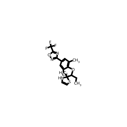 CCC(Oc1c(C)cc(-c2noc(C(F)(F)F)n2)cc1C)C1(C)NC=CS1